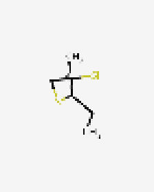 CCC1SC[C@]1(C)S